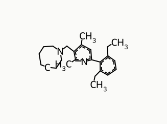 CCc1cccc(CC)c1-c1cc(C)c(CN2CCCCCCC2)c(C)n1